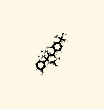 CC1=NC(N)(c2cccc(F)c2)C(N)=C(c2ccc(C(F)(F)F)cc2F)N1